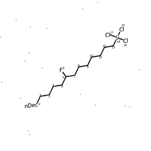 CCCCCCCCCCCCCCC(F)CCCCCCC[Si](Cl)(Cl)Cl